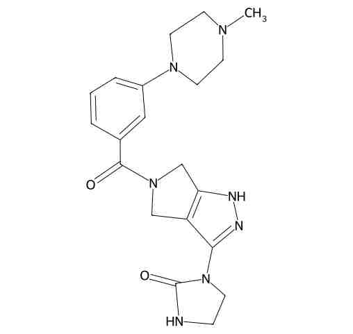 CN1CCN(c2cccc(C(=O)N3Cc4[nH]nc(N5CCNC5=O)c4C3)c2)CC1